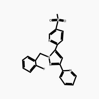 CS(=O)(=O)c1ccc(-c2cc(-c3ccccn3)nn2Cc2ccccc2F)nc1